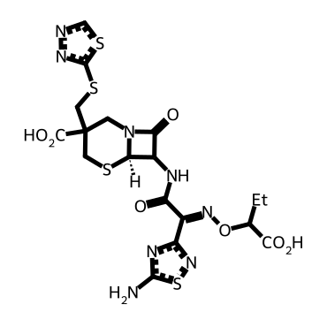 CCC(ON=C(C(=O)NC1C(=O)N2CC(CSc3nncs3)(C(=O)O)CS[C@H]12)c1nsc(N)n1)C(=O)O